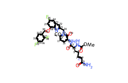 COC(=O)N[C@@H](CC/C=C/C(N)=O)C(=O)Nc1cccn(Cc2cc3cc(F)cc(OCc4ccc(F)cc4F)c3n2C(=O)O)c1=O